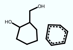 OCC1CCCCC1O.c1ccccc1